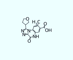 Cc1cc2c(cc1C(=O)O)[nH]c(=O)c1nnc(C3CCOC3)n12